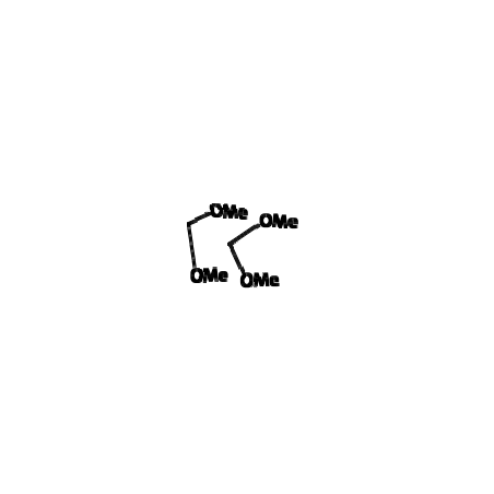 COCOC.COCOC